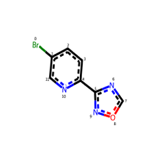 Brc1ccc(-c2ncon2)nc1